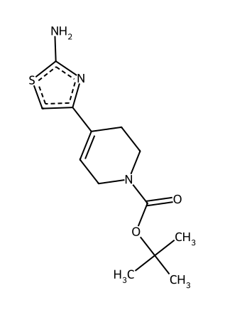 CC(C)(C)OC(=O)N1CC=C(c2csc(N)n2)CC1